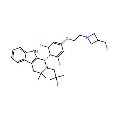 CC(C)(F)CN1[C@@H](C2C(F)=CC(OCCN3CC(CF)C3)=CC2F)c2[nH]c3ccccc3c2CC1(C)C